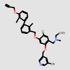 C#CCOc1cccc(-c2cccc(COc3cc(OCc4cncc(C#N)c4)c(CN(C)CC=O)cc3Cl)c2C)c1C